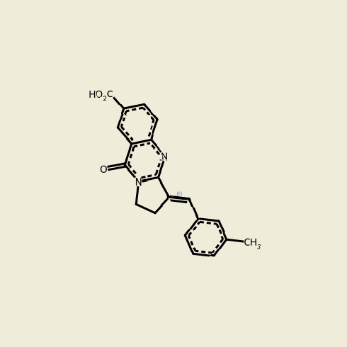 Cc1cccc(/C=C2\CCn3c2nc2ccc(C(=O)O)cc2c3=O)c1